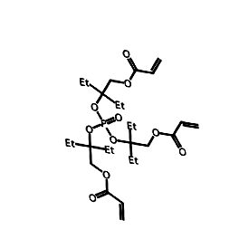 C=CC(=O)OCC(CC)(CC)OP(=O)(OC(CC)(CC)COC(=O)C=C)OC(CC)(CC)COC(=O)C=C